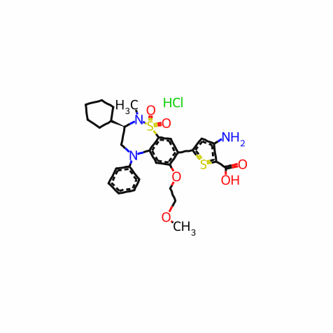 COCCOc1cc2c(cc1-c1cc(N)c(C(=O)O)s1)S(=O)(=O)N(C)[C@H](C1CCCCC1)CN2c1ccccc1.Cl